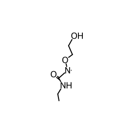 CCNC(=O)[N]OCCO